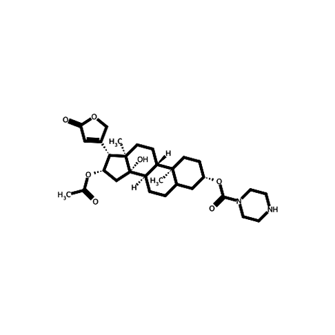 CC(=O)O[C@H]1C[C@]2(O)[C@@H]3CCC4C[C@@H](OC(=O)N5CCNCC5)CC[C@]4(C)[C@H]3CC[C@]2(C)[C@H]1C1=CC(=O)OC1